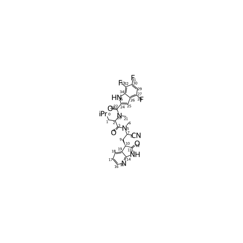 CC(C)CC(C(=O)N(C)C(C#N)C[C@H]1C(=O)Nc2ncccc21)N(C)C(=O)c1cc2c(F)cc(F)c(F)c2[nH]1